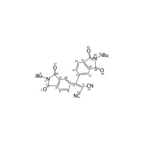 CCC(C)N1C(=O)c2ccc(C(=C(C#N)C#N)c3ccc4c(c3)C(=O)N(C(C)CC)C4=O)cc2C1=O